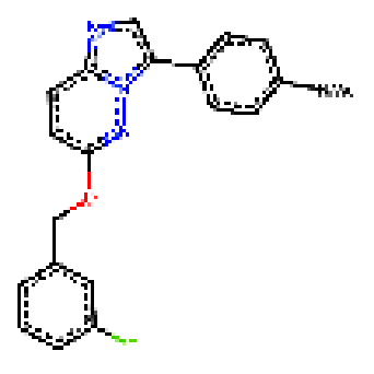 CNc1ccc(-c2cnc3ccc(OCc4cccc(F)c4)nn23)cc1